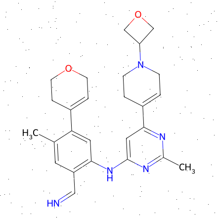 Cc1nc(Nc2cc(C3=CCOCC3)c(C)cc2C=N)cc(C2=CCN(C3COC3)CC2)n1